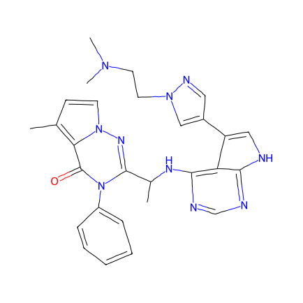 Cc1ccn2nc(C(C)Nc3ncnc4[nH]cc(-c5cnn(CCN(C)C)c5)c34)n(-c3ccccc3)c(=O)c12